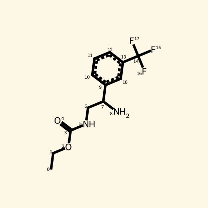 CCOC(=O)NCC(N)c1cccc(C(F)(F)F)c1